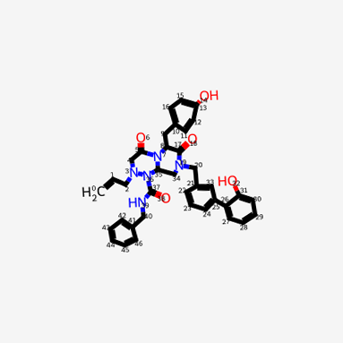 C=CCN1CC(=O)N2C(Cc3ccc(O)cc3)C(=O)N(Cc3cccc(-c4ccccc4O)c3)CC2N1C(=O)NCc1ccccc1